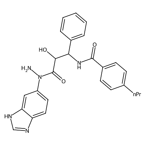 CCCc1ccc(C(=O)NC(c2ccccc2)C(O)C(=O)N(N)c2ccc3nc[nH]c3c2)cc1